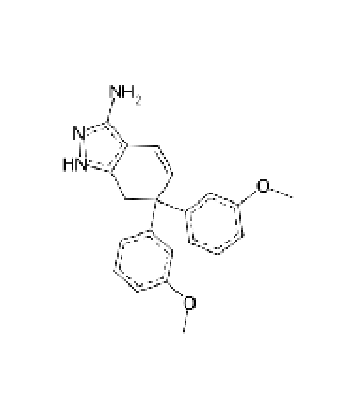 COc1cccc(C2(c3cccc(OC)c3)C=Cc3c(N)n[nH]c3C2)c1